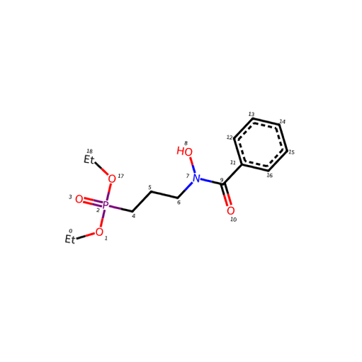 CCOP(=O)(CCCN(O)C(=O)c1ccccc1)OCC